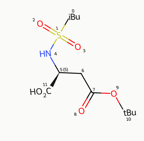 CCC(C)S(=O)(=O)N[C@@H](CC(=O)OC(C)(C)C)C(=O)O